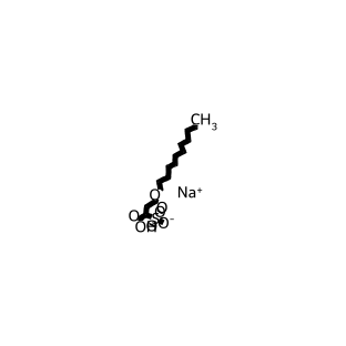 CCCCCCCCCCCCOC(=O)CC(C(=O)O)S(=O)(=O)[O-].[Na+]